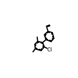 C=Cc1cccc(-c2c(C)cc(C)cc2Cl)c1